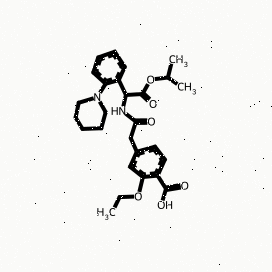 CCOc1cc(CC(=O)NC(C(=O)OC(C)C)c2ccccc2N2CCCCC2)ccc1C(=O)O